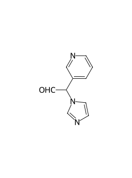 O=CC(c1cccnc1)n1ccnc1